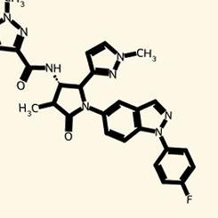 CC1C(=O)N(c2ccc3c(cnn3-c3ccc(F)cc3)c2)C(c2ccn(C)n2)[C@H]1NC(=O)c1ccn(C)n1